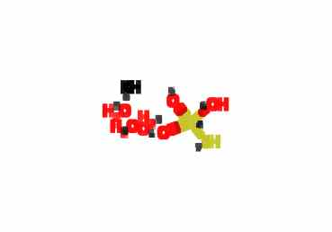 O.O.O.O=S(=O)(O)S.[KH]